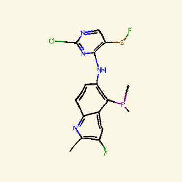 Cc1nc2ccc(Nc3nc(Cl)ncc3SF)c(P(C)C)c2cc1F